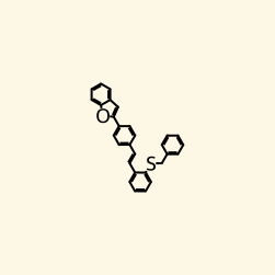 C(=Cc1ccccc1SCc1ccccc1)c1ccc(-c2cc3ccccc3o2)cc1